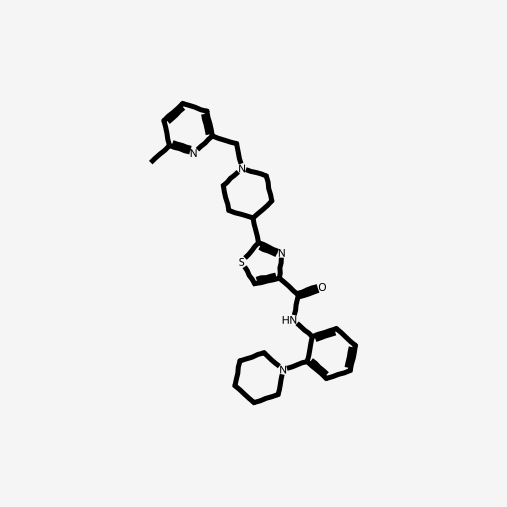 Cc1cccc(CN2CCC(c3nc(C(=O)Nc4ccccc4N4CCCCC4)cs3)CC2)n1